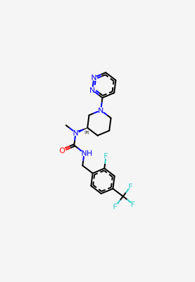 CN(C(=O)NCc1ccc(C(F)(F)F)cc1F)[C@@H]1CCCN(c2cccnn2)C1